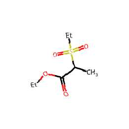 CCOC(=O)C(C)S(=O)(=O)CC